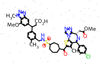 COC(=O)C[C@@H]1N=C(c2ccc(Cl)cc2)c2c(sc(C(=O)C3CCCC(S(=O)(=O)NCc4cc(C(CC(=O)O)c5cc(OC)c6c(c5)nnn6C)ccc4C)CC3)c2C)-n2cnnc21